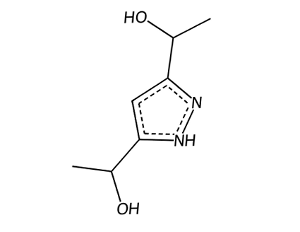 CC(O)c1cc(C(C)O)[nH]n1